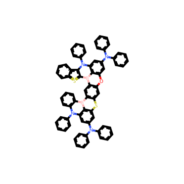 c1ccc(N(c2ccccc2)c2cc3c4c(c2)N(c2ccccc2)c2c(sc5ccccc25)B4c2cc4c(cc2O3)Sc2cc(N(c3ccccc3)c3ccccc3)cc3c2B4c2ccccc2N3c2ccccc2)cc1